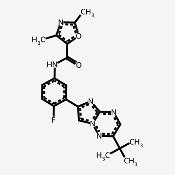 Cc1nc(C)c(C(=O)Nc2ccc(F)c(-c3cn4nc(C(C)(C)C)cnc4n3)c2)o1